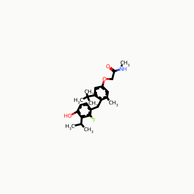 CNC(=O)COc1cc(C)c(Cc2ccc(O)c(C(C)C)c2F)c(C(C)(C)C)c1